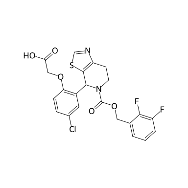 O=C(O)COc1ccc(Cl)cc1C1c2scnc2CCN1C(=O)OCc1cccc(F)c1F